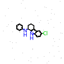 Clc1ccc2[nH]c3c(c2c1)CCCC3Nc1ccccc1